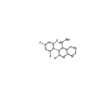 CCC(C)Nc1c(-c2c(F)cc(F)cc2F)c(F)nc2ncncc12